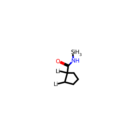 [Li][CH]1CCC[C]1([Li])C(=O)N[SiH3]